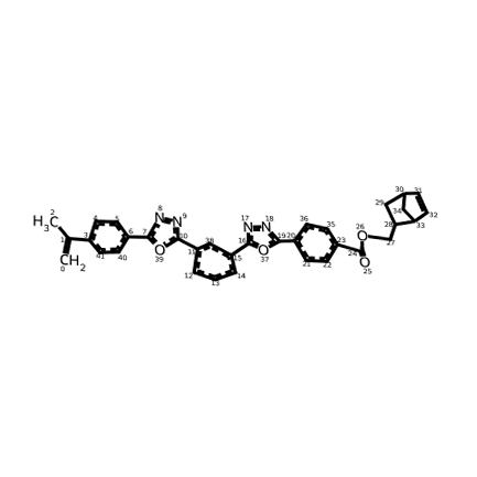 C=C(C)c1ccc(-c2nnc(-c3cccc(-c4nnc(-c5ccc(C(=O)OCC6CC7C=CC6C7)cc5)o4)c3)o2)cc1